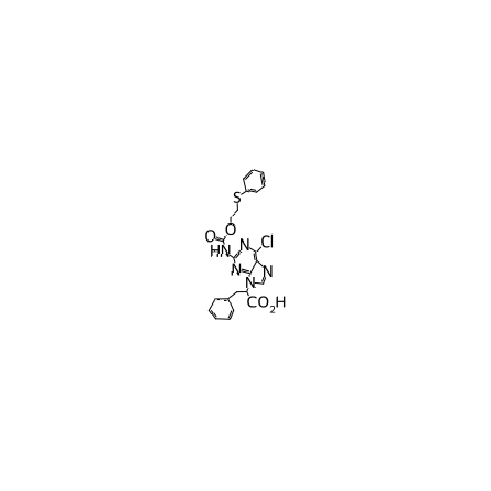 O=C(Nc1nc(Cl)c2ncn(C(Cc3ccccc3)C(=O)O)c2n1)OCCSc1ccccc1